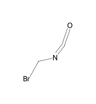 O=C=NCBr